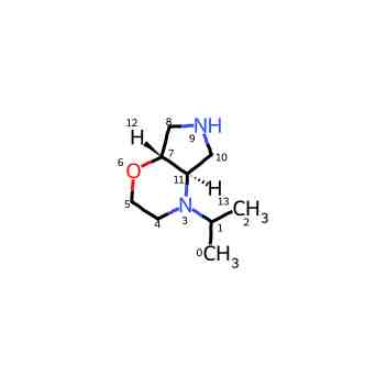 CC(C)N1CCO[C@@H]2CNC[C@H]21